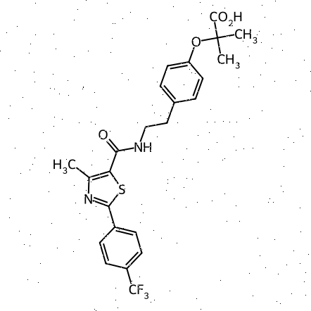 Cc1nc(-c2ccc(C(F)(F)F)cc2)sc1C(=O)NCCc1ccc(OC(C)(C)C(=O)O)cc1